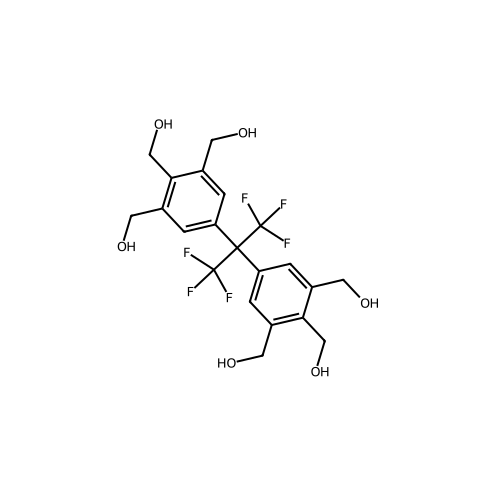 OCc1cc(C(c2cc(CO)c(CO)c(CO)c2)(C(F)(F)F)C(F)(F)F)cc(CO)c1CO